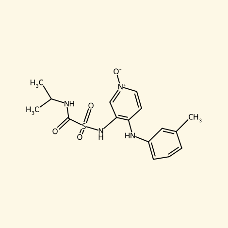 Cc1cccc(Nc2cc[n+]([O-])cc2NS(=O)(=O)C(=O)NC(C)C)c1